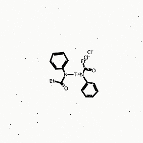 CCC(=O)[N]([Ti+2][N](C(=O)CC)c1ccccc1)c1ccccc1.[Cl-].[Cl-]